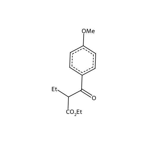 CCOC(=O)C(CC)C(=O)c1ccc(OC)cc1